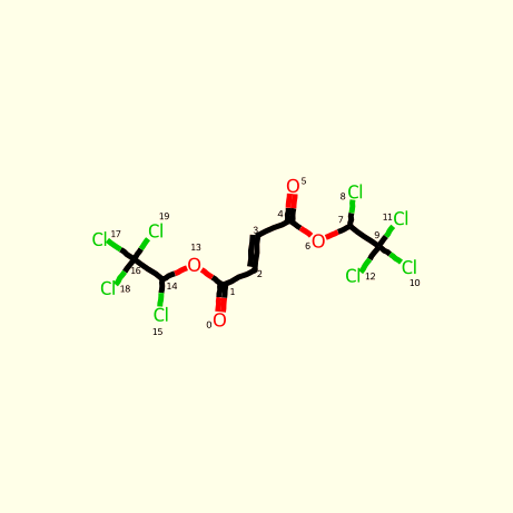 O=C(C=CC(=O)OC(Cl)C(Cl)(Cl)Cl)OC(Cl)C(Cl)(Cl)Cl